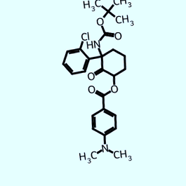 CN(C)c1ccc(C(=O)OC2CCCC(NC(=O)OC(C)(C)C)(c3ccccc3Cl)C2=O)cc1